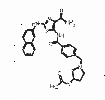 NC(=O)c1nc(Nc2ccc3ccccc3c2)sc1NC(=O)c1ccc(CN2CCC(NC(=O)O)C2)cc1